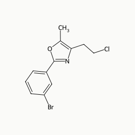 Cc1oc(-c2cccc(Br)c2)nc1CCCl